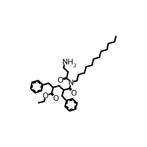 CCCCCCCCCCCCN(C(=O)CCN)C(=O)C(Cc1ccccc1)CC(Cc1ccccc1)C(=O)OCC